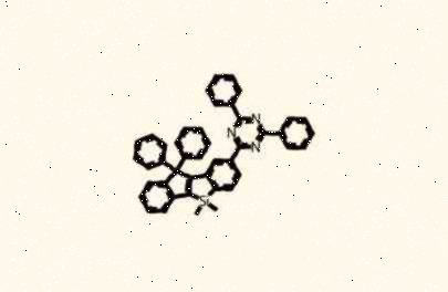 C[Si]1(C)C2=C(c3cc(-c4nc(-c5ccccc5)nc(-c5ccccc5)n4)ccc31)C(c1ccccc1)(c1ccccc1)c1ccccc12